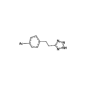 CC(=O)c1ccc(CCc2nn[nH]n2)cc1